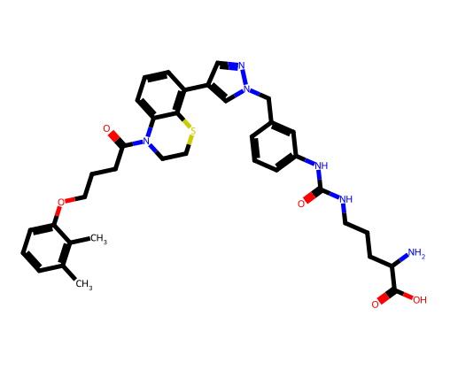 Cc1cccc(OCCCC(=O)N2CCSc3c(-c4cnn(Cc5cccc(NC(=O)NCCCC(N)C(=O)O)c5)c4)cccc32)c1C